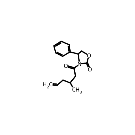 C=CCC(C)CC(=O)N1C(=O)OCC1c1ccccc1